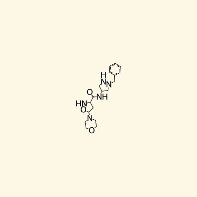 O=C(NC1CNN(Cc2ccccc2)C1)C1CC(N2CCOCC2)ON1